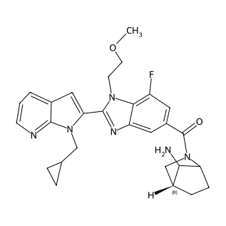 COCCn1c(-c2cc3cccnc3n2CC2CC2)nc2cc(C(=O)N3C[C@H]4CCC3C4N)cc(F)c21